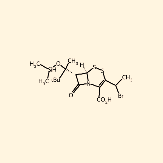 CC(Br)C1=C(C(=O)O)N2C(=O)[C@H](C(C)(O[SiH](C)C)C(C)(C)C)[C@H]2SS1